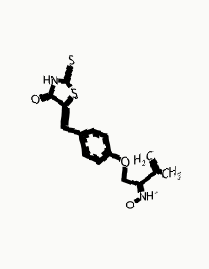 C=C(C)/C(COc1ccc(/C=C2\SC(=S)NC2=O)cc1)=[NH+]/[O-]